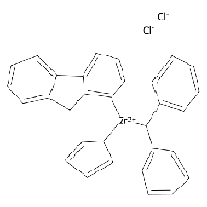 C1=C[CH]([Zr+2]([c]2cccc3c2Cc2ccccc2-3)[CH](c2ccccc2)c2ccccc2)C=C1.[Cl-].[Cl-]